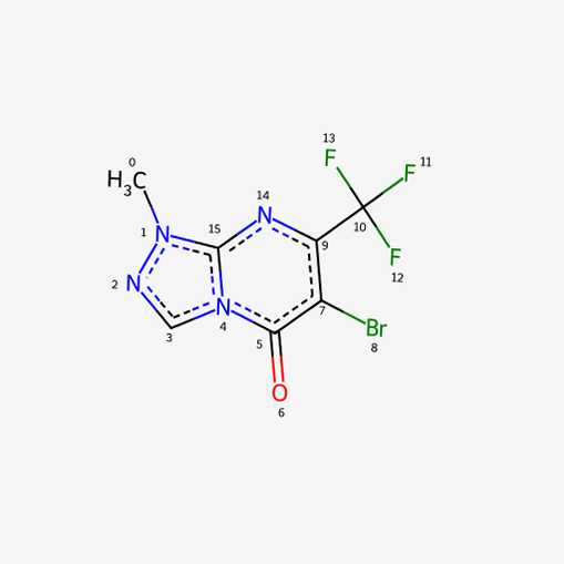 Cn1ncn2c(=O)c(Br)c(C(F)(F)F)nc12